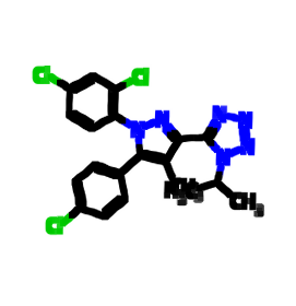 Cc1c(-c2nnnn2C(C)C)nn(-c2ccc(Cl)cc2Cl)c1-c1ccc(Cl)cc1